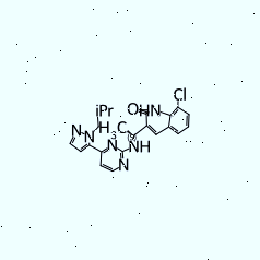 CC(C)Cn1nccc1-c1ccnc(N[C@@H](C)c2cc3cccc(Cl)c3[nH]c2=O)n1